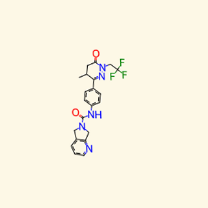 CC1CC(=O)N(CC(F)(F)F)N=C1c1ccc(NC(=O)N2Cc3cccnc3C2)cc1